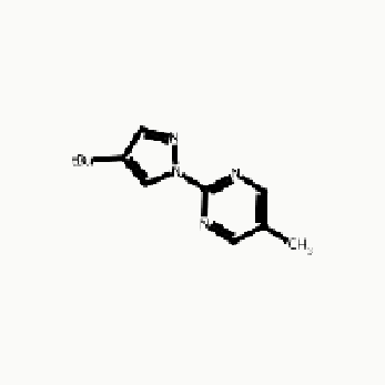 Cc1cnc(-n2cc(C(C)(C)C)cn2)nc1